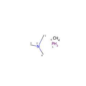 C.CN(C)C.P